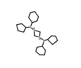 C1CCC(N(C2CCCC2)[SiH]2C[SiH](N(C3CCCCC3)C3CCCC3)C2)CC1